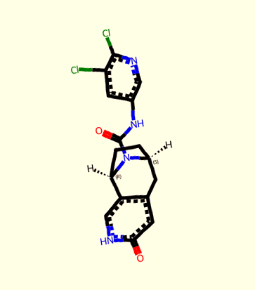 O=C(Nc1cnc(Cl)c(Cl)c1)N1[C@H]2CC[C@@H]1c1c[nH]c(=O)cc1C2